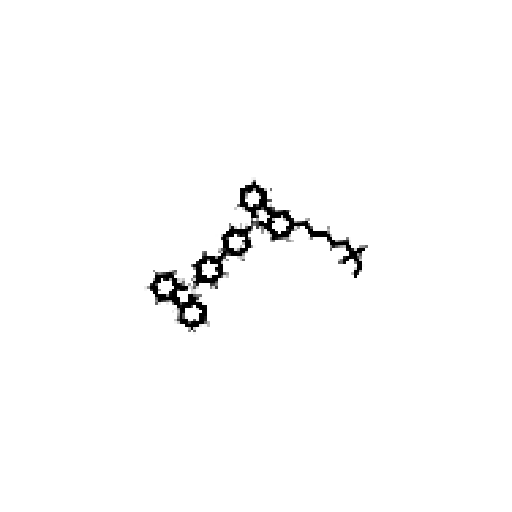 CCC(C)(C)CCCCCc1ccc2c(c1)c1ccccc1n2-c1ccc(-c2ccc(-n3c4ccccc4c4ccccc43)cc2)cc1